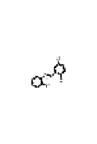 Clc1ccc(Cl)c(/C=N/c2ccccc2Cl)c1